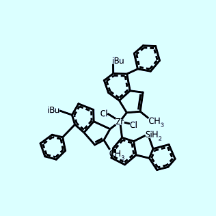 CCC(C)c1ccc2c(c1-c1ccccc1)C=C(C)[CH]2[Zr]([Cl])([Cl])([c]1cccc2c1[SiH2]c1ccccc1-2)[CH]1C(C)=Cc2c1ccc(C(C)CC)c2-c1ccccc1